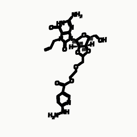 C=CCn1c(=O)n([C@@H]2O[C@H](CO)[C@H]3OC(COCCOC(=O)c4ccc(NN)nc4)O[C@H]32)c2nc(N)[nH]c(=O)c21